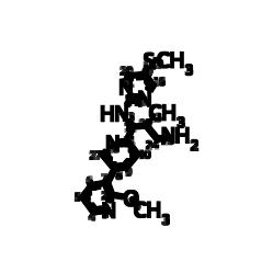 COc1ncccc1-c1ccc(C(Nc2ncc(SC)cn2)C(C)CN)nc1